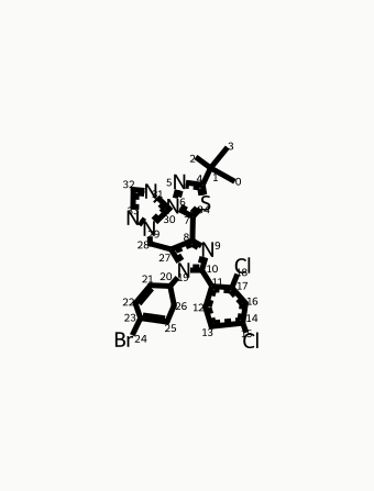 CC(C)(C)c1nnc(-c2nc(-c3ccc(Cl)cc3Cl)n(C3C=CC(Br)=CC3)c2Cn2cncn2)s1